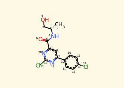 C[C@@H](CO)NC(=O)c1cc(-c2ccc(Cl)cc2)nc(Cl)n1